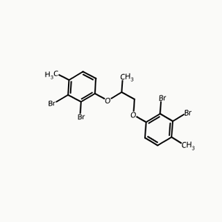 Cc1ccc(OCC(C)Oc2ccc(C)c(Br)c2Br)c(Br)c1Br